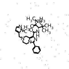 CNC(=O)[C@@H](NC(=O)c1nc(-c2ccccc2)n2c1CN(Cc1ccnn1C)CC2)C(C)(C)C